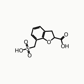 O=C(O)C1Cc2cccc(CS(=O)(=O)O)c2O1